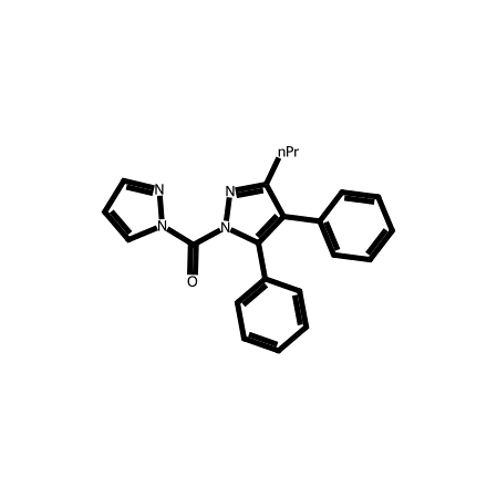 CCCc1nn(C(=O)n2cccn2)c(-c2ccccc2)c1-c1ccccc1